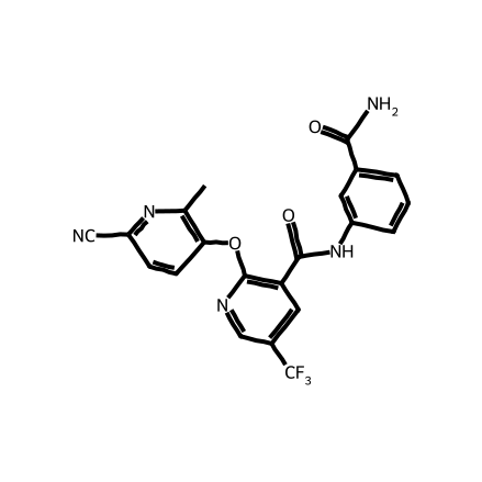 Cc1nc(C#N)ccc1Oc1ncc(C(F)(F)F)cc1C(=O)Nc1cccc(C(N)=O)c1